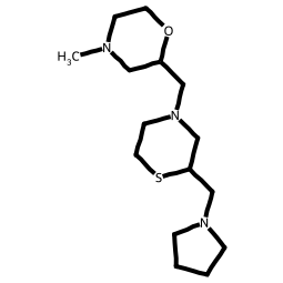 CN1CCOC(CN2CCSC(CN3CCCC3)C2)C1